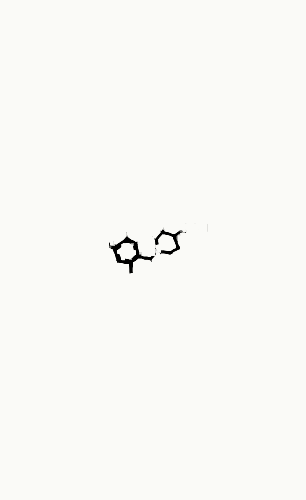 Cc1cc(O)ccc1CN1CCC(C(=O)O)CC1